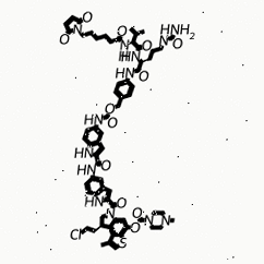 Cc1csc2c(OC(=O)N3CCN(C)CC3)cc3c(c12)[C@@H](CCCl)CN3C(=O)c1cc2cc(NC(=O)c3cc4cc(NC(=O)OCc5ccc(NC(=O)[C@H](CCCNC(N)=O)NC(=O)[C@@H](NC(=O)CCCCCN6C(=O)C=CC6=O)C(C)C)cc5)ccc4[nH]3)ccc2[nH]1